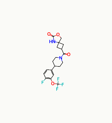 O=C1NC2(CO1)CC(C(=O)N1CCC(c3ccc(F)c(OC(F)(F)F)c3)CC1)C2